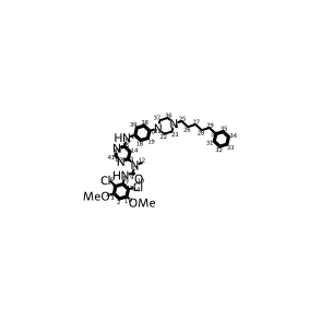 COc1cc(OC)c(Cl)c(NC(=O)N(C)c2cc(Nc3ccc(N4CCN(CCCCCc5ccccc5)CC4)cc3)ncn2)c1Cl